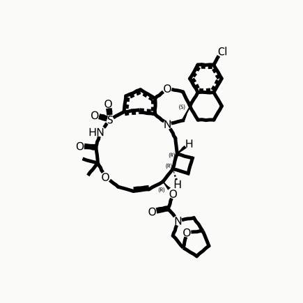 CC1(C)OCC=C[C@H](OC(=O)N2CC3CCC(C2)O3)[C@@H]2CC[C@H]2CN2C[C@@]3(CCCc4cc(Cl)ccc43)COc3ccc(cc32)S(=O)(=O)NC1=O